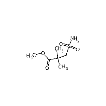 COC(=O)C(C)(C)CS(N)(=O)=O